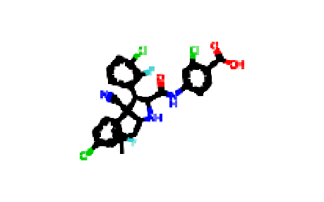 CC(C)(C)CC1NC(C(=O)Nc2ccc(C(=O)O)c(Cl)c2)C(c2cccc(Cl)c2F)C1(C#N)c1ccc(Cl)cc1F